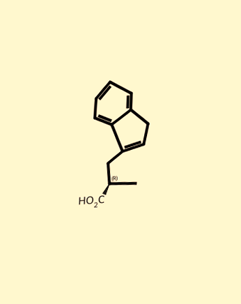 C[C@H](CC1=CCc2ccccc21)C(=O)O